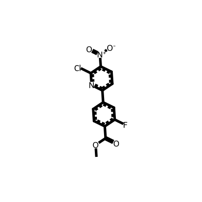 COC(=O)c1ccc(-c2ccc([N+](=O)[O-])c(Cl)n2)cc1F